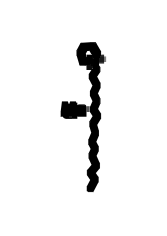 CCCCCCCCCCCCCCCC[n+]1ccccc1.[Cl-].[Mn]